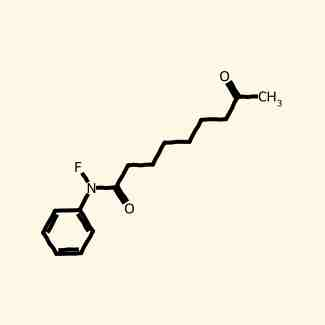 CC(=O)CCCCCCC(=O)N(F)c1ccccc1